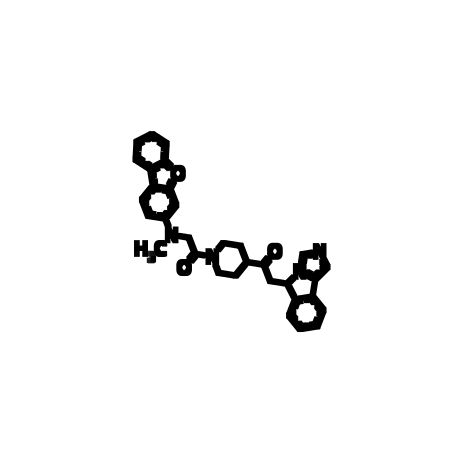 CN(CC(=O)N1CCC(C(=O)CC2c3ccccc3-c3cncn32)CC1)c1ccc2c(c1)oc1ccccc12